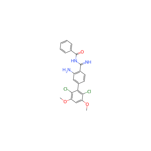 COc1cc(OC)c(Cl)c(-c2ccc(C(=N)NC(=O)c3ccccc3)c(N)c2)c1Cl